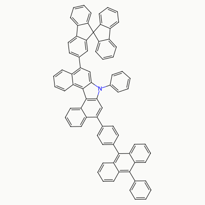 c1ccc(-c2c3ccccc3c(-c3ccc(-c4cc5c(c6ccccc46)c4c6ccccc6c(-c6ccc7c(c6)C6(c8ccccc8-c8ccccc86)c6ccccc6-7)cc4n5-c4ccccc4)cc3)c3ccccc23)cc1